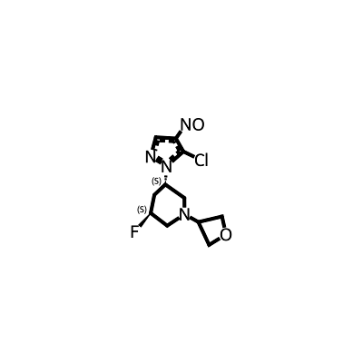 O=Nc1cnn([C@H]2C[C@H](F)CN(C3COC3)C2)c1Cl